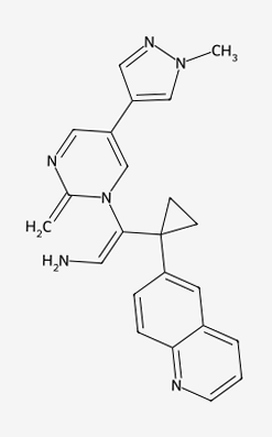 C=C1N=CC(c2cnn(C)c2)=CN1/C(=C\N)C1(c2ccc3ncccc3c2)CC1